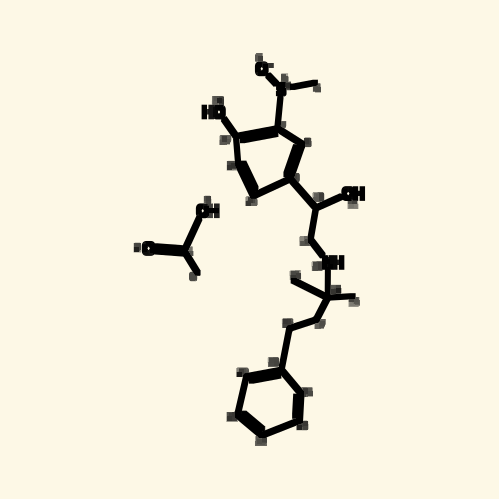 CC(=O)O.C[S+]([O-])c1cc(C(O)CNC(C)(C)CCc2ccccc2)ccc1O